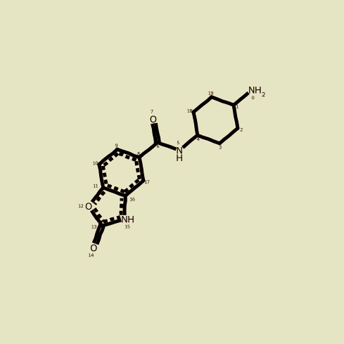 NC1CCC(NC(=O)c2ccc3oc(=O)[nH]c3c2)CC1